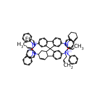 C=CCC/C(=C/C)N(C1=CCCC=C1)c1ccc2c(c1)C1(c3cc(N(c4ccccc4)c4ccccc4)ccc3-2)c2cc(N(c3ccccc3)c3ccccc3)ccc2C2C=CC(N(C(/C=C\CC)=C/C)c3ccccc3)CC21